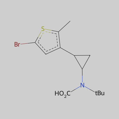 Cc1sc(Br)cc1C1CC1N(C(=O)O)C(C)(C)C